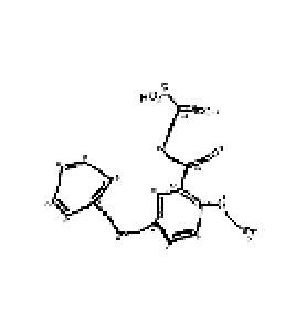 CC(C)Oc1ccc(Cc2ccccc2)cc1C(=O)CC(=O)C(=O)O